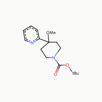 COC1(c2ccccn2)CCN(C(=O)OC(C)(C)C)CC1